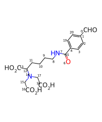 O=Cc1ccc(C(=O)NCCCCC(C(=O)O)N(CC(=O)O)CC(=O)O)cc1